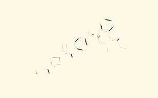 CCC(=O)N1c2ccccc2[C@H](Nc2ccc(C(=O)NC3CN(C(=O)OC(C)(C)C)C3)cc2)C[C@@H]1C